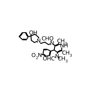 CC1=C(N(C)C=O)C(c2ccc([N+](=O)[O-])cc2)C(N(C=O)CCCN2CCC(O)(c3ccccc3)CC2)=C(C)N1